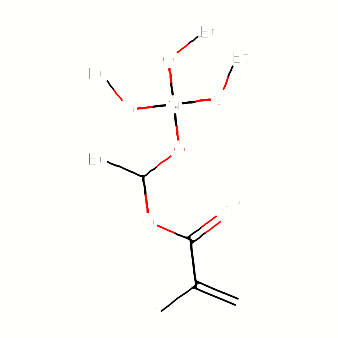 C=C(C)C(=O)OC(CC)O[Si](OCC)(OCC)OCC